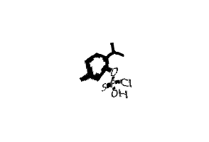 Cc1ccc(C(C)C)c(OP(O)(=S)Cl)c1